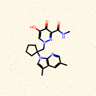 CNC(=O)c1nn(CC2(n3cc(C)c4cc(C)cnc43)CCCC2)cc(O)c1=O